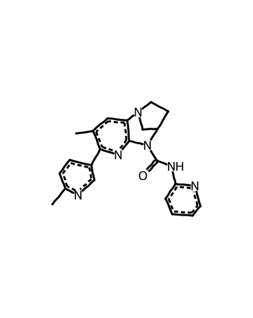 Cc1ccc(-c2nc3c(cc2C)N2CCC(C2)N3C(=O)Nc2ccccn2)cn1